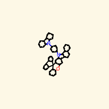 c1ccc2c(c1)Oc1cc3c4ccc5ccccc5c4n(-c4ccc(-n5c6ccccc6c6ccccc65)cc4)c3cc1C21c2ccccc2-c2ccccc21